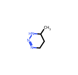 CC1CCN=NN1